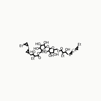 CC[C@@H]1C[C@@H]1C[C@@H]1C[C@@H]1C[C@@H](O)[C@@H](CC)C(=O)OCC1OC(OC2OC(COC(=O)[C@H](CC)[C@H](O)C[C@H]3C[C@H]3C[C@H]3C[C@H]3CC)C(O)C(O)C2O)C(O)C(O)C1O